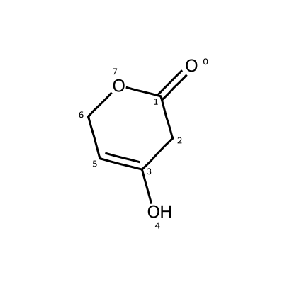 O=C1CC(O)=CCO1